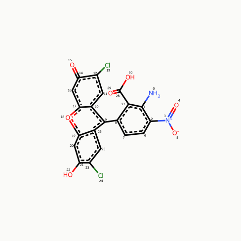 Nc1c([N+](=O)[O-])ccc(-c2c3cc(Cl)c(=O)cc-3oc3cc(O)c(Cl)cc23)c1C(=O)O